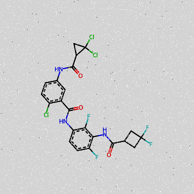 O=C(Nc1ccc(F)c(NC(=O)C2CC(F)(F)C2)c1F)c1cc(NC(=O)C2CC2(Cl)Cl)ccc1Cl